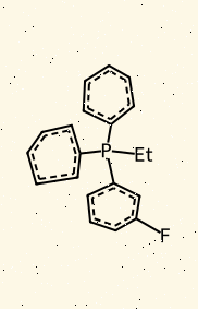 CC[P](c1ccccc1)(c1ccccc1)c1cccc(F)c1